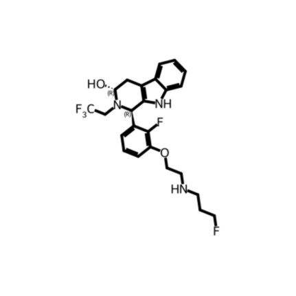 O[C@@H]1Cc2c([nH]c3ccccc23)[C@@H](c2cccc(OCCNCCCF)c2F)N1CC(F)(F)F